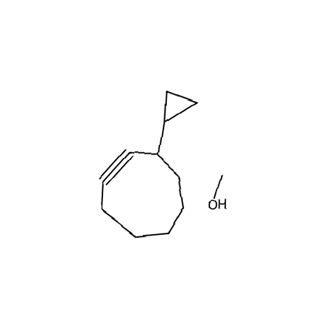 C1#CC(C2CC2)CCCCC1.CO